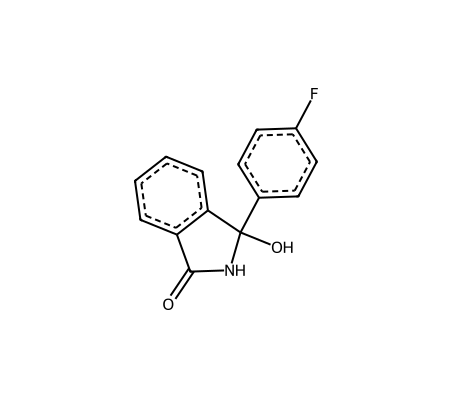 O=C1NC(O)(c2ccc(F)cc2)c2ccccc21